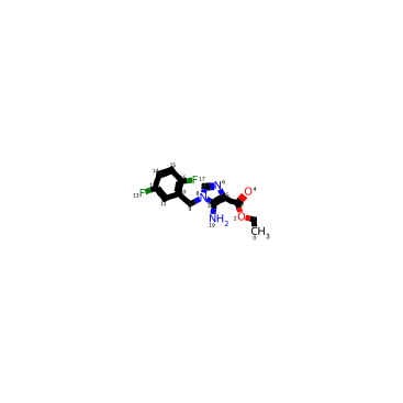 CCOC(=O)c1ncn(Cc2cc(F)ccc2F)c1N